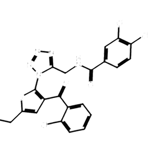 CCc1cc(C(=O)c2ccccc2Cl)c(-n2nnnc2CNC(=O)c2ccc(Cl)c(Cl)c2)s1